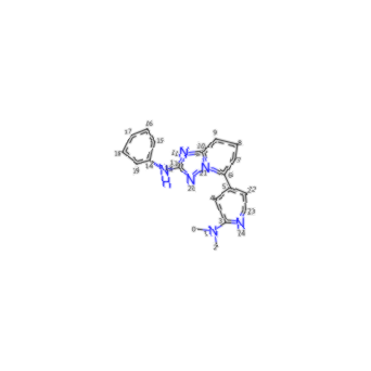 CN(C)c1cc(-c2cccc3nc(Nc4ccccc4)nn23)ccn1